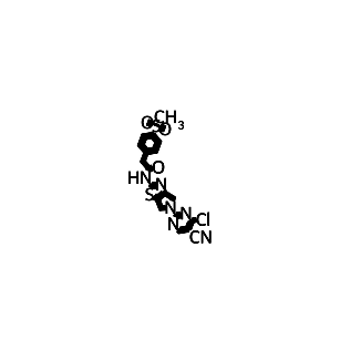 CS(=O)(=O)c1ccc(CC(=O)Nc2nc3c(s2)CN(c2ncc(C#N)c(Cl)n2)C3)cc1